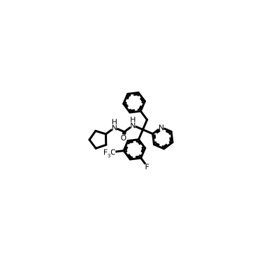 O=C(NC1CCCC1)NC(Cc1ccccc1)(c1cc(F)cc(C(F)(F)F)c1)c1ccccn1